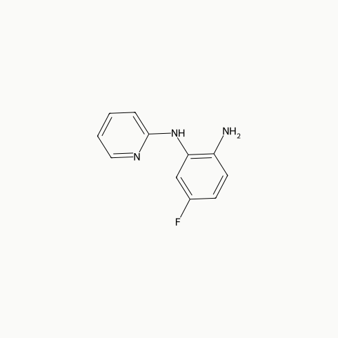 Nc1ccc(F)cc1Nc1ccccn1